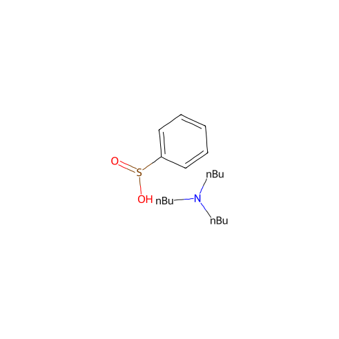 CCCCN(CCCC)CCCC.O=S(O)c1ccccc1